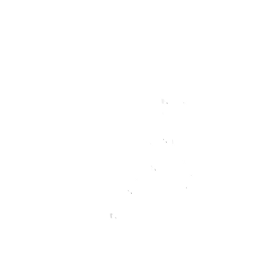 O=C(O)C(F)(F)F.O=C1CCC(NC(=O)c2ccc(N3CCNCC3)cn2)C(=O)N1